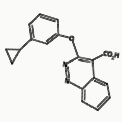 O=C(O)c1c(Oc2cccc(C3CC3)c2)nnc2ccccc12